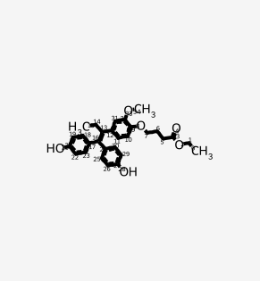 CCOC(=O)CCCOc1ccc(C(CC)=C(c2ccc(O)cc2)c2ccc(O)cc2)cc1OC